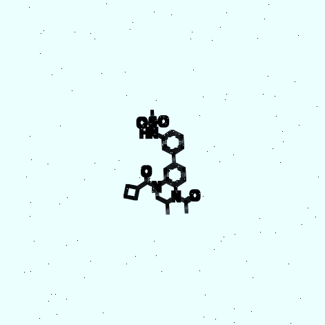 CC(=O)N1c2ccc(-c3cccc(NS(C)(=O)=O)c3)cc2N(C(=O)C2CCC2)CC1C